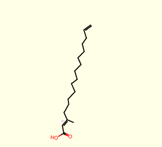 C=CCCCCCCCCCCCC/C(C)=C/C(=O)O